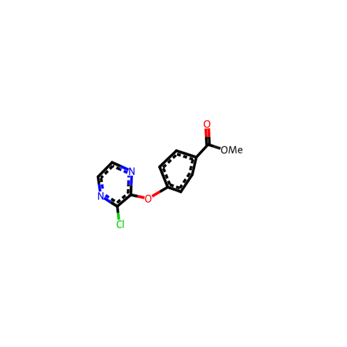 COC(=O)c1ccc(Oc2nccnc2Cl)cc1